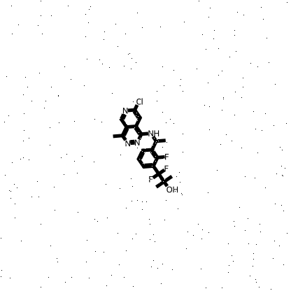 Cc1nnc(NC(C)c2cccc(C(F)(F)C(C)(C)O)c2F)c2cc(Cl)ncc12